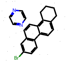 Brc1ccc2c(ccc3c4c(ccc32)CCCC4)c1.c1cnccn1